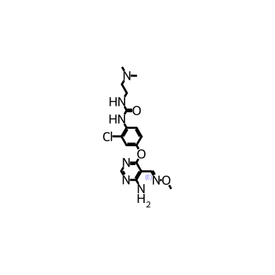 CO/N=C/c1c(N)ncnc1Oc1ccc(NC(=O)NCCN(C)C)c(Cl)c1